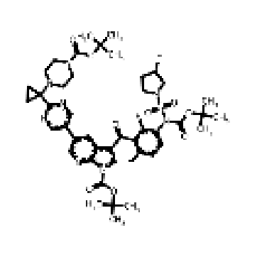 CC(C)(C)OC(=O)N1CCN(C2(c3ncc(-c4cnc5c(c4)c(C(=O)c4c(F)ccc(N(C(=O)OC(C)(C)C)S(=O)(=O)N6CC[C@@H](F)C6)c4F)cn5C(=O)OC(C)(C)C)cn3)CC2)CC1